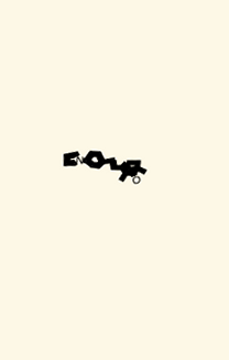 CC1=C(C=Cc2ccc(-n3cccc3)cc2)C2CC(C)(C2)C1=O